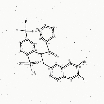 CS(=O)(=O)c1ncc(C(F)(F)F)cc1N(Cc1ccc2cc(F)c(N)nc2c1)C(=O)c1cccnc1